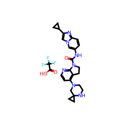 O=C(Nc1ccc2nc(C3CC3)cn2c1)N1CCc2c(N3CCNC4(CC4)C3)ccnc21.O=C(O)C(F)(F)F